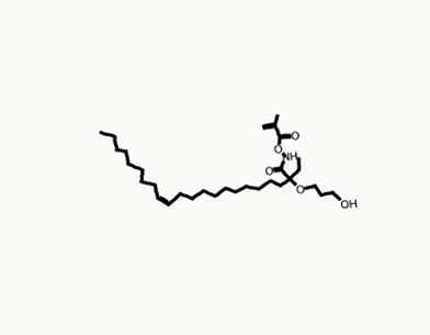 C=C(C)C(=O)ONC(=O)C(CC)(CCCCCCCCCC/C=C\CCCCCCCC)OCCCO